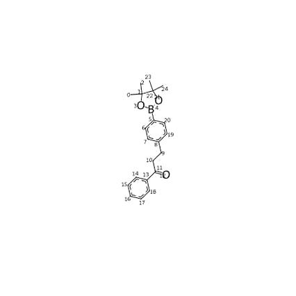 CC1(C)OB(c2ccc(CCC(=O)c3ccccc3)cc2)OC1(C)C